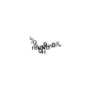 C=CCOCCNC(=O)ONC(=O)OCCOCC=C